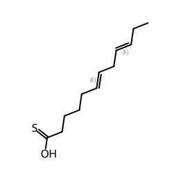 CC/C=C/C/C=C/CCCCC(O)=S